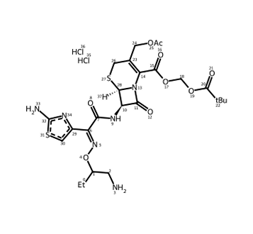 CCC(CN)ON=C(C(=O)N[C@@H]1C(=O)N2C(C(=O)OCOC(=O)C(C)(C)C)=C(COC(C)=O)CS[C@H]12)c1csc(N)n1.Cl.Cl